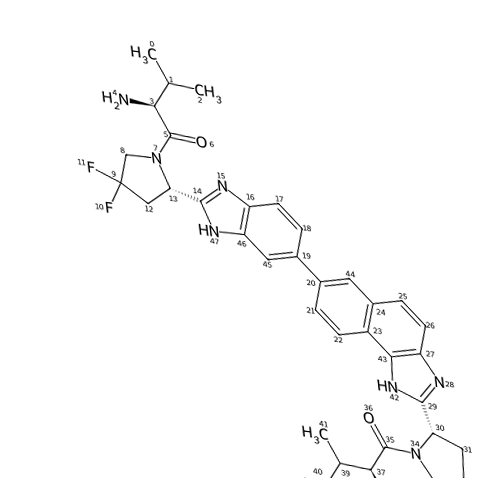 CC(C)[C@H](N)C(=O)N1CC(F)(F)C[C@H]1c1nc2ccc(-c3ccc4c(ccc5nc([C@@H]6CCCN6C(=O)[C@@H](N)C(C)C)[nH]c54)c3)cc2[nH]1